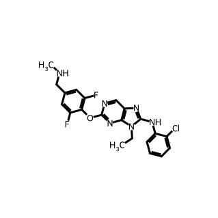 CCn1c(Nc2ccccc2Cl)nc2cnc(Oc3c(F)cc(CNC)cc3F)nc21